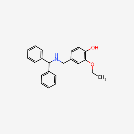 CCOc1cc(CNC(c2ccccc2)c2ccccc2)ccc1O